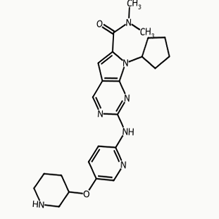 CN(C)C(=O)c1cc2cnc(Nc3ccc(OC4CCCNC4)cn3)nc2n1C1CCCC1